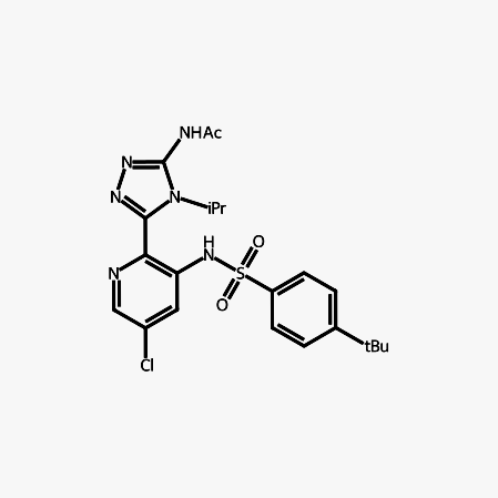 CC(=O)Nc1nnc(-c2ncc(Cl)cc2NS(=O)(=O)c2ccc(C(C)(C)C)cc2)n1C(C)C